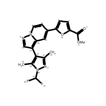 COC(=O)c1ccc(-c2ccn3ncc(-c4c(C)nn(C(F)F)c4C)c3c2)o1